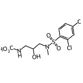 CN(CC(O)CNC(=O)O)S(=O)(=O)c1ccc(Cl)cc1Cl